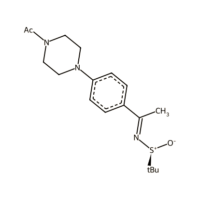 CC(=O)N1CCN(c2ccc(/C(C)=N/[S@@+]([O-])C(C)(C)C)cc2)CC1